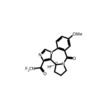 COc1ccc2c(c1)C(=O)N1CCC[C@H]1c1c(C(=O)NC(F)(F)F)ncn1-2